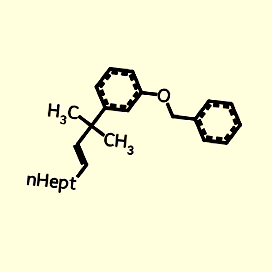 CCCCCCCC=CC(C)(C)c1cccc(OCc2ccccc2)c1